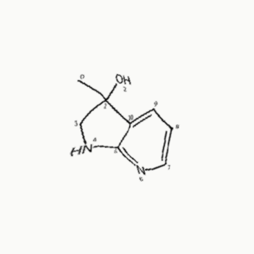 CC1(O)CNc2ncccc21